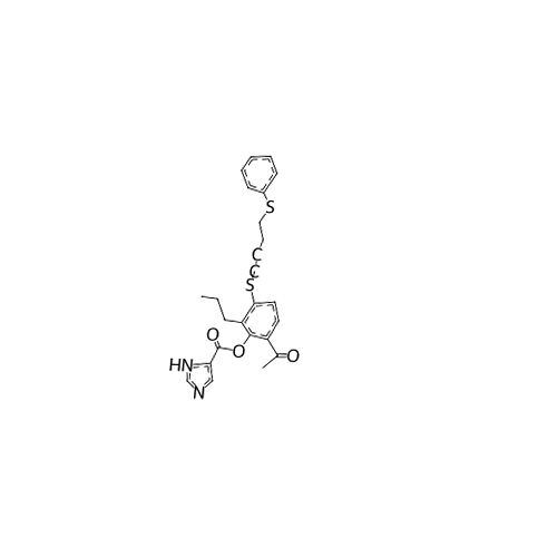 CCCc1c(SCCCCSc2ccccc2)ccc(C(C)=O)c1OC(=O)c1cnc[nH]1